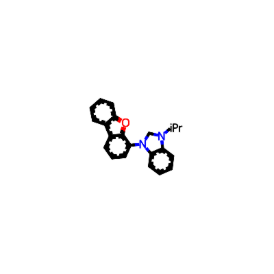 CC(C)N1CN(c2cccc3c2oc2ccccc23)c2ccccc21